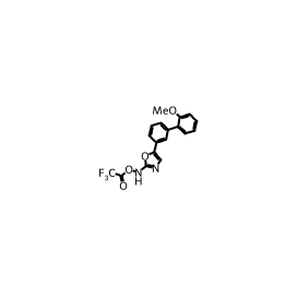 COc1ccccc1-c1cccc(-c2cnc(NOC(=O)C(F)(F)F)o2)c1